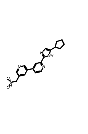 O=[SH](=O)Cc1cncc(-c2ccnc(-c3ncc(C4CCCC4)[nH]3)c2)c1